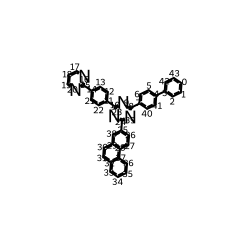 c1ccc(-c2ccc(-c3nc(-c4ccc(-c5ncccn5)cc4)nc(-c4ccc5c(ccc6ccccc65)c4)n3)cc2)cc1